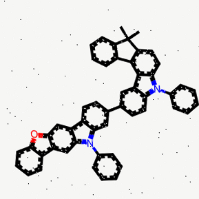 CC1(C)c2ccccc2-c2c1ccc1c2c2cc(-c3ccc4c5cc6oc7ccccc7c6cc5n(-c5ccccc5)c4c3)ccc2n1-c1ccccc1